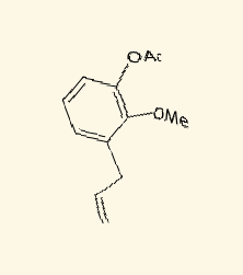 C=CCc1cccc(OC(C)=O)c1OC